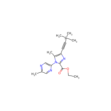 CCOC(=O)c1nc(C#C[Si](C)(C)C)c(C)n1-c1cnc(C)cn1